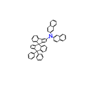 c1ccc(C2(c3ccccc3)c3ccccc3C3(c4ccccc4-c4cc(N(c5ccc6ccccc6c5)c5ccc6ccccc6c5)ccc43)c3ccccc32)cc1